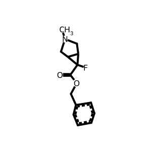 CN1CC2C(C1)C2(F)C(=O)OCc1ccccc1